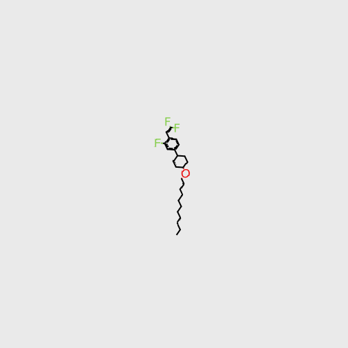 CCCCCCCCCCCOC1CCC(c2ccc(C=C(F)F)c(F)c2)CC1